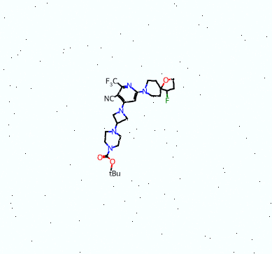 CC(C)(C)OC(=O)N1CCN(C2CN(c3cc(N4CCC5(CC4)OCCC5F)nc(C(F)(F)F)c3C#N)C2)CC1